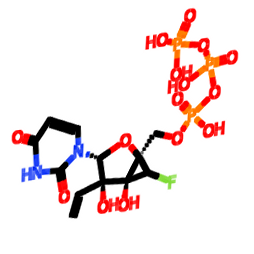 C=C[C@]1(O)[C@H](n2ccc(=O)[nH]c2=O)O[C@@]2(COP(=O)(O)OP(=O)(O)OP(=O)(O)O)C(F)[C@@]21O